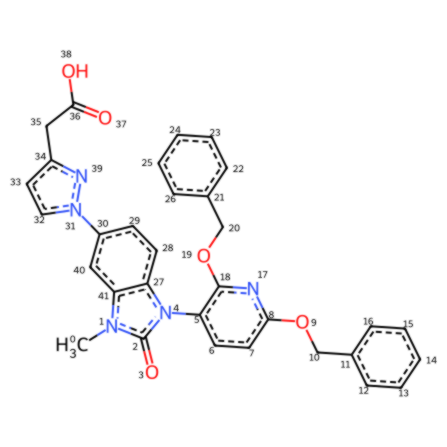 Cn1c(=O)n(-c2ccc(OCc3ccccc3)nc2OCc2ccccc2)c2ccc(-n3ccc(CC(=O)O)n3)cc21